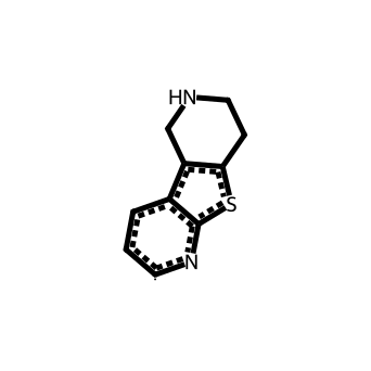 [c]1ccc2c3c(sc2n1)CCNC3